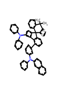 CC1(C)c2ccccc2C2(c3ccc(N(c4ccccc4)c4ccccc4)cc3-c3c(-c4cccc(N(c5ccccc5)c5ccc6ccccc6c5)c4)cccc32)c2ccccc21